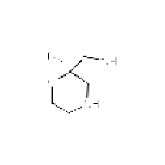 CC(C)(C)[C@]1(CN)CNCCO1